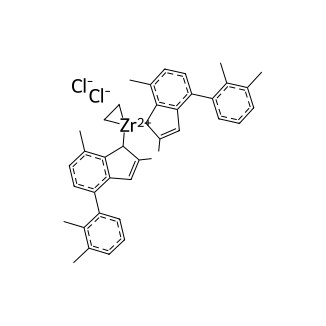 CC1=Cc2c(-c3cccc(C)c3C)ccc(C)c2[CH]1[Zr+2]1([CH]2C(C)=Cc3c(-c4cccc(C)c4C)ccc(C)c32)[CH2][CH2]1.[Cl-].[Cl-]